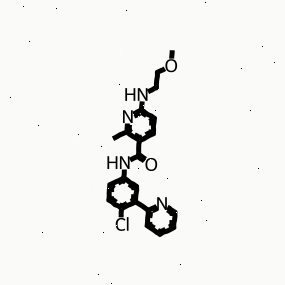 COCCNc1ccc(C(=O)Nc2ccc(Cl)c(-c3ccccn3)c2)c(C)n1